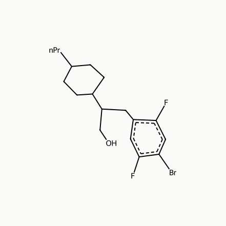 CCCC1CCC(C(CO)Cc2cc(F)c(Br)cc2F)CC1